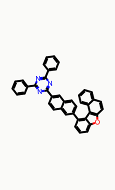 c1ccc(-c2nc(-c3ccccc3)nc(-c3ccc4cc(-c5cccc6oc7ccc8ccccc8c7c56)ccc4c3)n2)cc1